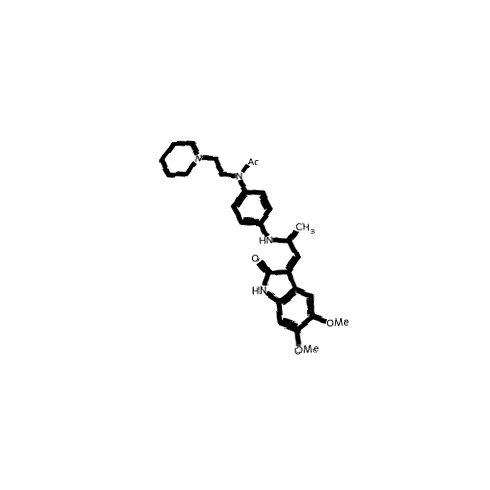 COc1cc2c(cc1OC)C(=CC(C)Nc1ccc(N(CCN3CCCCC3)C(C)=O)cc1)C(=O)N2